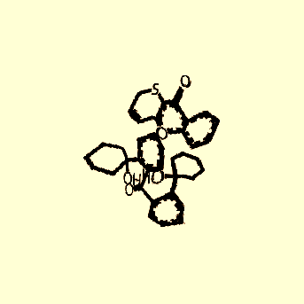 O=C(c1ccccc1C1(O)CCCCC1)c1ccccc1C1(O)CCCCC1.O=c1c2c(oc3ccccc13)C=CCS2